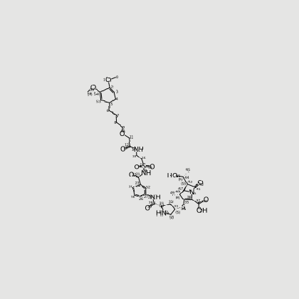 COC1=CCC(CCCCOCC(=O)NCCS(=O)(=O)NC(=O)c2cccc(NC(=O)[C@@H]3C[C@H](SC4=C(C(=O)O)N5C(=O)[C@H]([C@@H](C)O)C5[C@H]4C)CN3)c2)C=C1OC